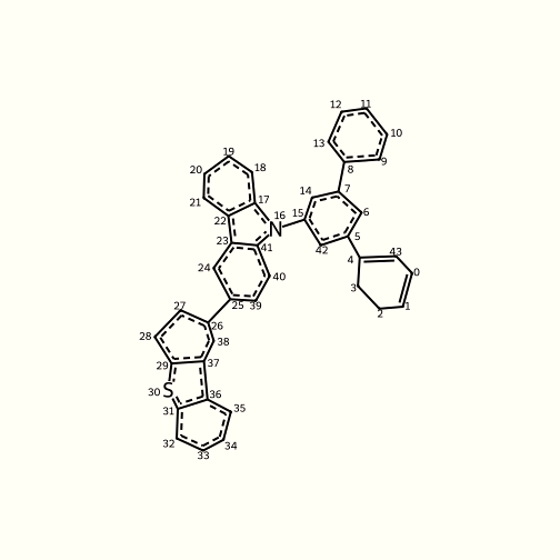 C1=CCCC(c2cc(-c3ccccc3)cc(-n3c4ccccc4c4cc(-c5ccc6sc7ccccc7c6c5)ccc43)c2)=C1